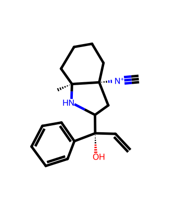 C#[N+][C@@]12CCCC[C@]1(C)NC([C@@](O)(C=C)c1ccccc1)C2